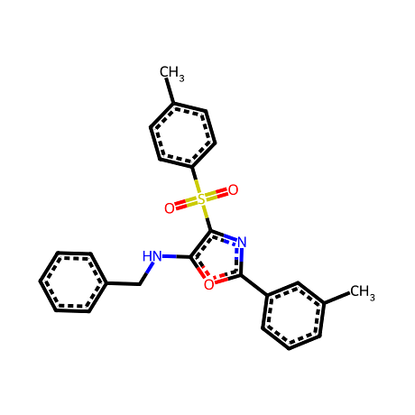 Cc1ccc(S(=O)(=O)c2nc(-c3cccc(C)c3)oc2NCc2ccccc2)cc1